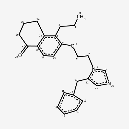 CCCc1c(OCCn2cncc2Cc2ccccc2)ccc2c1CCCC2=O